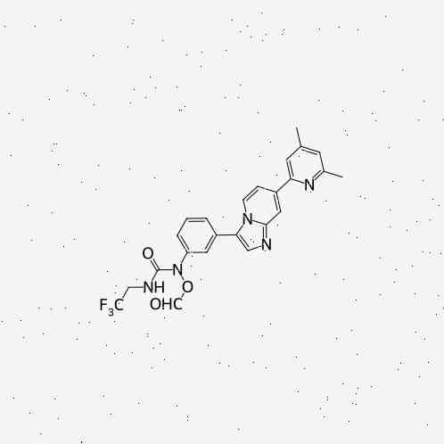 Cc1cc(C)nc(-c2ccn3c(-c4cccc(N(OC=O)C(=O)NCC(F)(F)F)c4)cnc3c2)c1